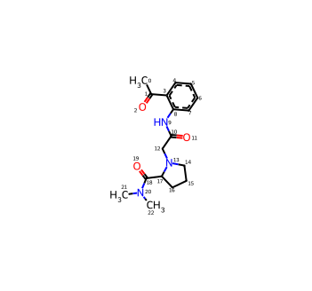 CC(=O)c1ccccc1NC(=O)CN1CCCC1C(=O)N(C)C